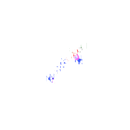 O=c1n(-c2ccc(N3CCN(c4ccc(OC[C@@H]5CO[C@@](Cn6cnnn6)(c6ccc(Cl)cc6Cl)O5)cn4)CC3)cc2)cnn1CC1CCCCC1